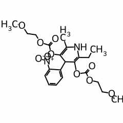 CCC1=C(OC(=O)OCCOC)C(c2ccccc2[N+](=O)[O-])C(OC(=O)OCCOC)=C(C)N1